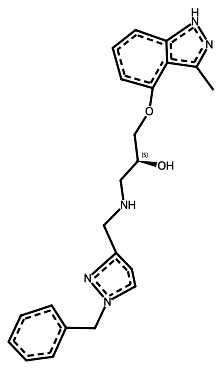 Cc1n[nH]c2cccc(OC[C@@H](O)CNCc3ccn(Cc4ccccc4)n3)c12